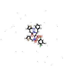 Cc1cc(F)c(S(=O)(=O)N(Cc2cccs2)C[C@@H](O)[C@H](Cc2ccccc2)NC(=O)Cc2ccsc2)cc1F